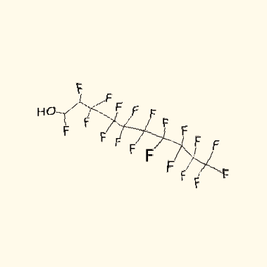 OC(F)C(F)C(F)(F)C(F)(F)C(F)(F)C(F)(F)C(F)(F)C(F)(F)C(F)(F)C(F)(F)F